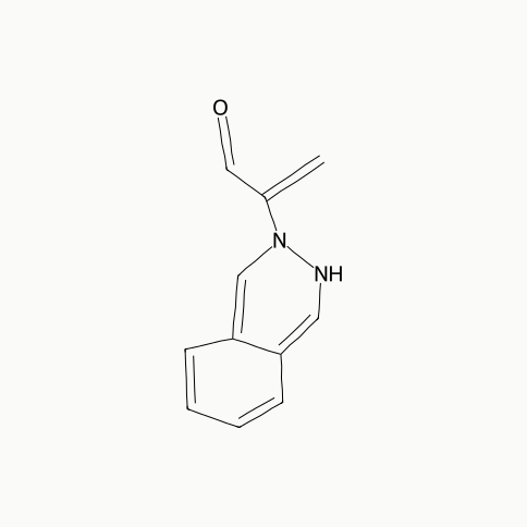 C=C(C=O)N1C=c2ccccc2=CN1